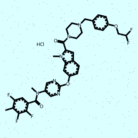 Cc1c(F)cc(C(=O)N(C)c2cnc(Oc3ccc4cc(C(=O)N5CCN(Cc6ccc(OCC(F)F)cc6)CC5)n(C)c4c3)nc2)c(F)c1F.Cl